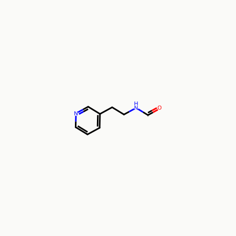 O=[C]NCCc1cccnc1